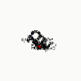 CCCC[C@H](NC(=O)[C@@H]1CCCN1C(=O)[C@@H]1CSCc2cc(CSC[C@H](NC)C(N)=O)cc(c2)OCCCCCCO/N=C/C(=O)N[C@@H](CCCNC(=N)N)C(=O)N1)C(=O)N[C@@H](CC(=O)O)C(=O)N[C@H](C(=O)N[C@@H](Cc1c[nH]c2ccccc12)C(=O)NC(C(=O)N[C@H](C=O)CCCCN)C(C)C)[C@@H](C)CC